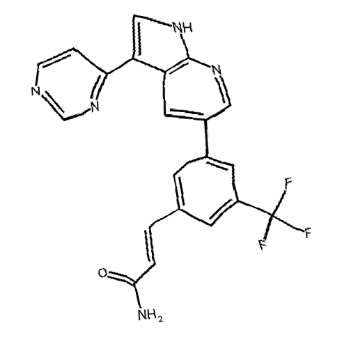 NC(=O)/C=C/c1cc(-c2cnc3[nH]cc(-c4ccncn4)c3c2)cc(C(F)(F)F)c1